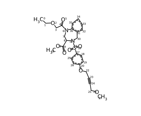 CCOCC(=O)N1CC(C(=O)OC)N(S(=O)(=O)c2ccc(OCC#CCOC)cc2)Cc2ccccc21